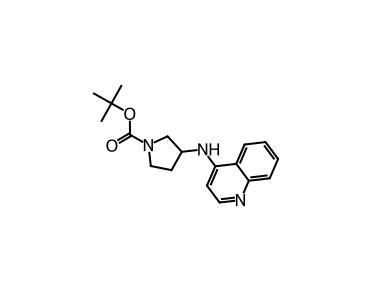 CC(C)(C)OC(=O)N1CCC(Nc2ccnc3ccccc23)C1